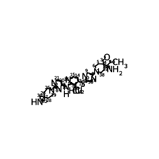 C[C@@H]1OCC2(CCN(c3cnc(Sc4ccnc(Nc5ccnc(N6CCC7(CC6)CNC7)n5)c4Cl)cn3)CC2)[C@@H]1N.Cl